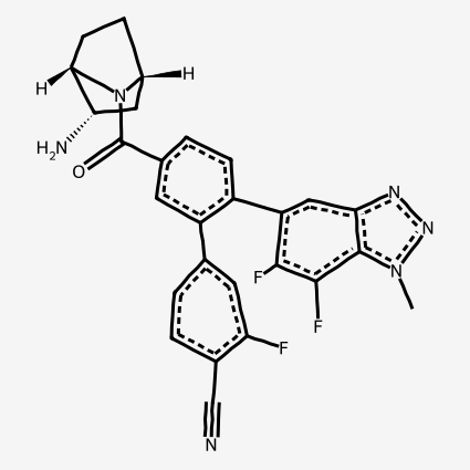 Cn1nnc2cc(-c3ccc(C(=O)N4[C@@H]5CC[C@H]4[C@@H](N)C5)cc3-c3ccc(C#N)c(F)c3)c(F)c(F)c21